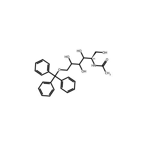 CC(=O)N[C@H](CO)C(O)C(O)C(O)COC(c1ccccc1)(c1ccccc1)c1ccccc1